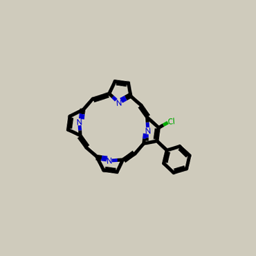 ClC1=C(c2ccccc2)C2=NC1=CC1=NC(=CC3=NC(=CC4=NC(=C2)C=C4)C=C3)C=C1